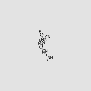 CCc1nc2ccc(-c3cnc(N4CC(NC5CC5)C4)nc3)cn2c1N(C)c1nc(-c2ccc(F)cc2)c(C#N)s1